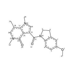 COc1ccc2c(c1)CCN2C(=O)c1cn(C)c2c(C)cn(C)c(=O)c12